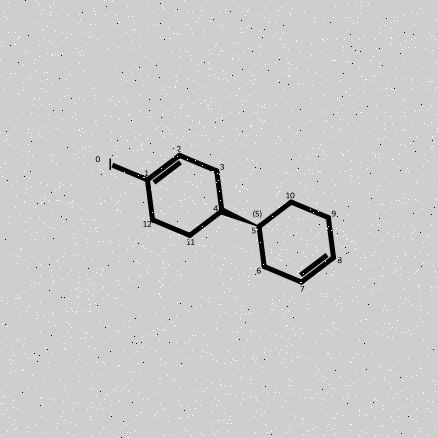 IC1=CCC([C@@H]2CC=CCC2)CC1